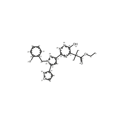 CCOC(=O)C(C)(C)c1nc(-c2cc(-c3ccon3)n(Cc3ccccc3F)n2)nnc1O